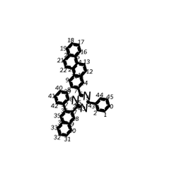 c1ccc(-c2nc(-c3ccc4c(ccc5c6ccccc6ccc45)c3)nc(-c3cc4ccccc4cc3-c3ccccc3)n2)cc1